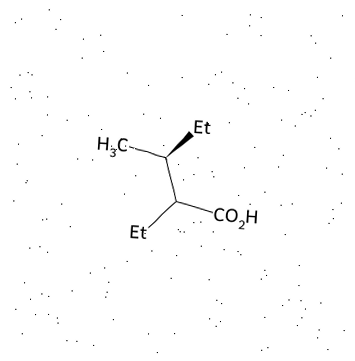 CCC(C(=O)O)[C@@H](C)CC